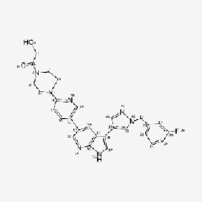 O=C(CO)N1CCN(c2ccc(-c3cnc4[nH]cc(-c5cnn(Cc6cccc(F)c6)c5)c4c3)cn2)CC1